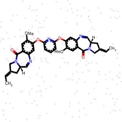 C/C=C1\C[C@H]2C=Nc3cc(Oc4cccc(Oc5cc6c(cc5OC)C(=O)N5C/C(=C/C)C[C@H]5C=N6)n4)c(OC)cc3C(=O)N2C1